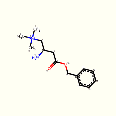 C[N+](C)(C)C[C@H](N)CC(=O)OCc1ccccc1